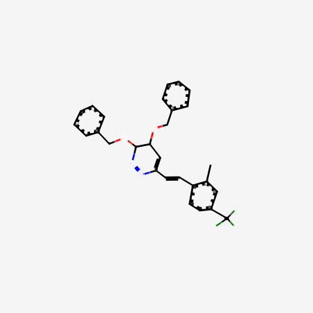 Cc1cc(C(F)(F)F)ccc1/C=C/C1=CC(OCc2ccccc2)C(OCc2ccccc2)N=N1